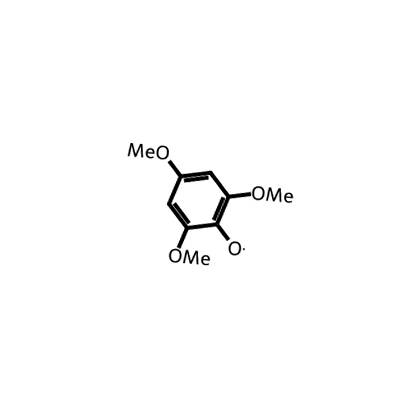 COc1cc(OC)c([O])c(OC)c1